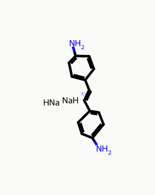 Nc1ccc(/C=C/c2ccc(N)cc2)cc1.[NaH].[NaH]